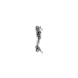 C=CC(=O)OCCCCCCCCOc1ccc(OC(=O)[C@H]2CC[C@H](C)CC2)cc1